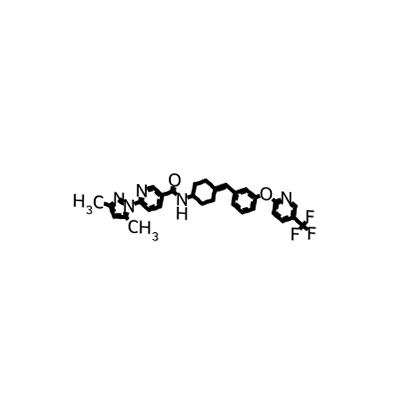 Cc1cc(C)n(-c2ccc(C(=O)NC3CCC(=Cc4cccc(Oc5ccc(C(F)(F)F)cn5)c4)CC3)cn2)n1